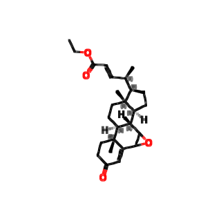 CCOC(=O)C=C[C@@H](C)[C@H]1CC[C@H]2[C@@H]3C4OC4C4=CC(=O)CC[C@]4(C)[C@H]3CC[C@]12C